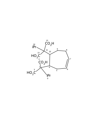 CC(C)C(C(=O)O)(C(=O)O)C1CC=CCCC1C(C(=O)O)(C(=O)O)C(C)C